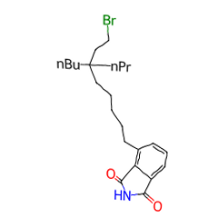 CCCCC(CCC)(CCBr)CCCCCc1cccc2c1C(=O)NC2=O